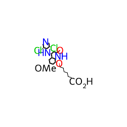 COc1ccc2c(Nc3c(Cl)cncc3Cl)cc(=O)[nH]c2c1OCCCCCCC(=O)O